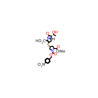 COC(=O)C1C[C@H](SC2=C(C(=O)O)N3C(=O)[C@H](C(C)O)[C@H]3C2)CN1C(=O)OCc1ccc([N+](=O)[O-])cc1